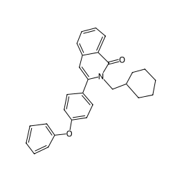 O=c1c2ccccc2cc(-c2ccc(Oc3ccccc3)cc2)n1CC1CCCCC1